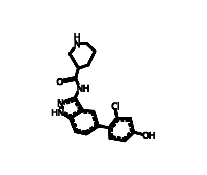 O=C(Nc1n[nH]c2ccc(-c3ccc(O)cc3Cl)cc12)C1CCCNC1